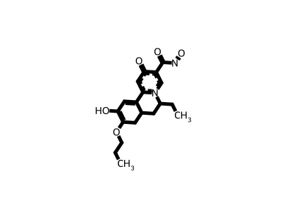 CCCOC1=C(O)C=C2c3cc(=O)c(C(=O)N=O)cn3C(CC)CC2C1